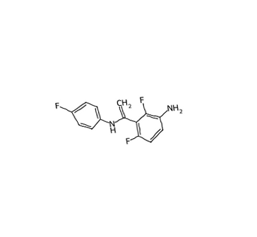 C=C(Nc1ccc(F)cc1)c1c(F)ccc(N)c1F